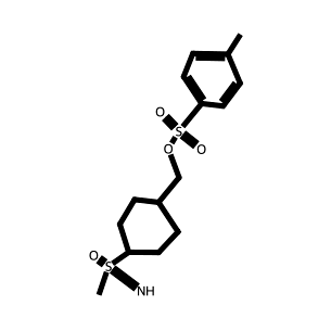 Cc1ccc(S(=O)(=O)OCC2CCC(S(C)(=N)=O)CC2)cc1